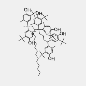 CCCCCCCCCCCCSC(CC(C)(c1cc(C(C)(C)C)c(O)cc1C)c1cc(C(C)(C)C)c(O)cc1C)C(CCCC(c1cc(C(C)(C)C)c(O)cc1C)c1cc(C(C)(C)C)c(O)cc1C)(c1cc(C(C)(C)C)c(O)cc1C)c1cc(C(C)(C)C)c(O)cc1C